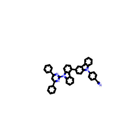 N#Cc1ccc(-n2c3ccccc3c3cc(-c4cccc5c4c4ccccc4n5-c4nc(-c5ccccc5)cc(-c5ccccc5)n4)ccc32)cc1